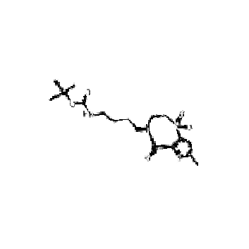 CC(C)(C)OC(=O)NCCCCN1CCS(=O)(=O)c2cc(I)sc2C1=O